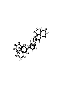 c1cc(-c2cc3c4c(c2)CCCN4CCC3)[nH]c1-c1cc2c3c(c1)CCCN3CCC2